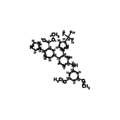 COC(=O)c1cc(-c2cnc(Nc3cc(OC)cc(OC)c3)nc2-n2ccc(C(F)(F)F)n2)cnc1-n1cncn1